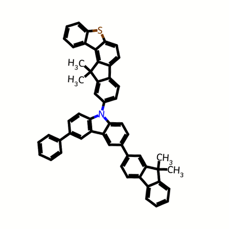 CC1(C)c2ccccc2-c2ccc(-c3ccc4c(c3)c3cc(-c5ccccc5)ccc3n4-c3ccc4c(c3)C(C)(C)c3c-4ccc4sc5ccccc5c34)cc21